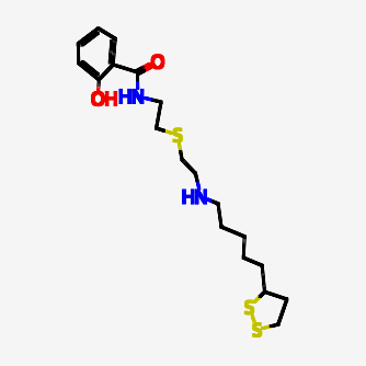 O=C(NCCSCCNCCCCCC1CCSS1)c1ccccc1O